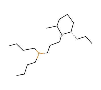 CCCCP(CCCC)CCCB1C(C)CCC[C@@H]1CCC